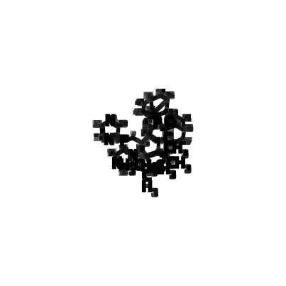 CC(C)(C)c1cc(CP(c2cnccn2)c2cnccn2)c(CP(C23CC4CC(CC(C4)C2)C3)C23CC4CC(CC(C4)C2)C3)cc1C(C)(C)C